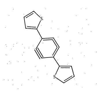 C1=C=C(c2cccs2)C#CC=1c1cccs1